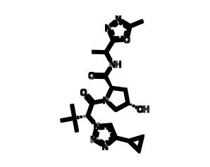 Cc1nnc(C(C)NC(=O)[C@H]2C[C@H](O)CN2C(=O)[C@H](n2cc(C3CC3)nn2)C(C)(C)C)o1